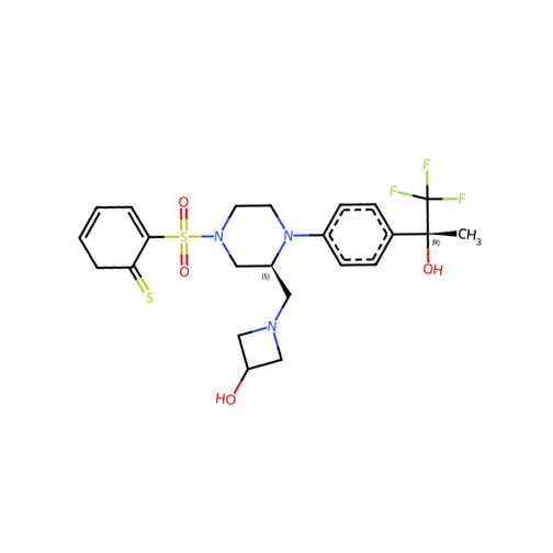 C[C@@](O)(c1ccc(N2CCN(S(=O)(=O)C3=CC=CCC3=S)C[C@@H]2CN2CC(O)C2)cc1)C(F)(F)F